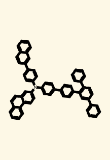 c1ccc(-c2ccc(-c3ccccc3)c(-c3ccc(-c4ccc(N(c5ccc(-c6ccc7ccccc7c6)cc5)c5ccc6c(ccc7ccccc76)c5)cc4)cc3)c2)cc1